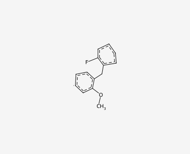 COc1c[c]ccc1Cc1ccccc1F